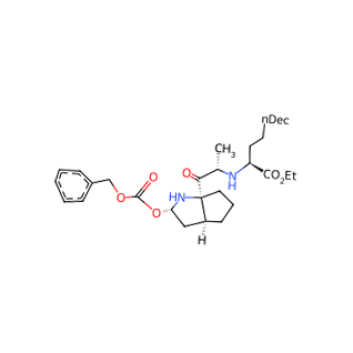 CCCCCCCCCCCC[C@H](N[C@@H](C)C(=O)[C@]12CCC[C@H]1C[C@H](OC(=O)OCc1ccccc1)N2)C(=O)OCC